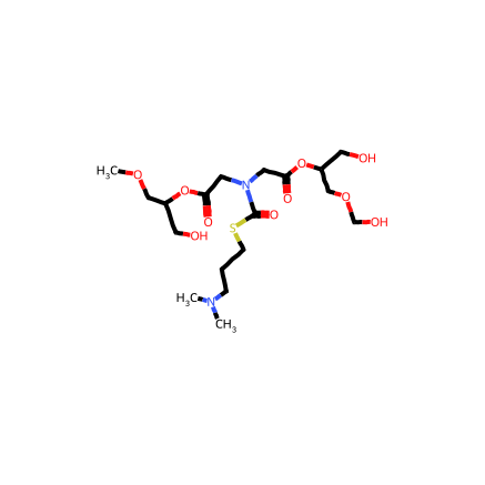 COCC(CO)OC(=O)CN(CC(=O)OC(CO)COCO)C(=O)SCCCN(C)C